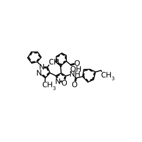 CCc1ccc(C(=O)Nc2onc(-c3c(C)nn(-c4ccccc4)c3C)c2-c2ccccc2C(=O)O)cc1